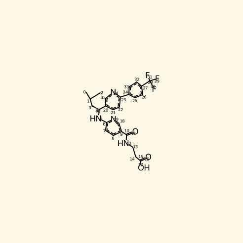 CC(C)C[C@H](Nc1ccc(C(=O)NCCC(=O)O)cn1)c1ccc(-c2ccc(C(F)(F)F)cc2)nc1